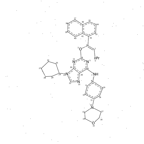 CCCC=C(Oc1nc(Nc2ccc(N3CCOCC3)cc2)c2ncn(C3CCCCC3)c2n1)c1cccc2ccccc12